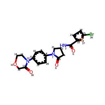 O=C(N[C@@H]1CC(=O)N(c2ccc(N3CCOCC3=O)cc2)C1)c1ccc(Br)s1